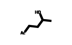 CC(=O)CCC(C)O